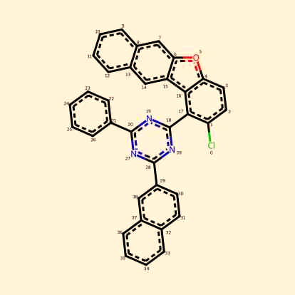 Clc1ccc2oc3cc4ccccc4cc3c2c1-c1nc(-c2ccccc2)nc(-c2ccc3ccccc3c2)n1